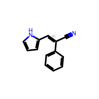 N#C/C(=C/c1ccc[nH]1)c1ccccc1